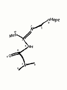 CCCCCCCCN=C(NC(=O)N(C)C)SC